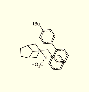 CC(C)(C)c1ccc(-c2ccccc2N(CC2C3CCC2CN(Cc2ccccc2)C3)C(=O)O)cc1